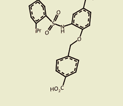 Cc1ccc(OCc2ccc(C(=O)O)cc2)c(NS(=O)(=O)c2ccccc2C(C)C)c1